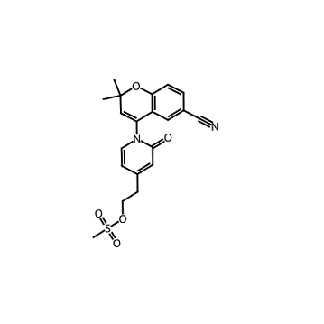 CC1(C)C=C(n2ccc(CCOS(C)(=O)=O)cc2=O)c2cc(C#N)ccc2O1